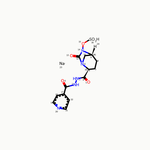 O=C(NNC(=O)[C@@H]1CC[C@@H]2CN1C(=O)N2OS(=O)(=O)O)c1ccncc1.[Na]